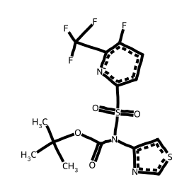 CC(C)(C)OC(=O)N(c1cscn1)S(=O)(=O)c1ccc(F)c(C(F)(F)F)n1